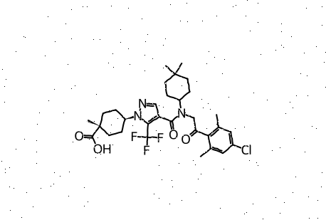 Cc1cc(Cl)cc(C)c1C(=O)CN(C(=O)c1cnn([C@H]2CC[C@](C)(C(=O)O)CC2)c1C(F)(F)F)C1CCC(C)(C)CC1